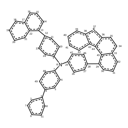 c1ccc(-c2ccc(N(c3ccc(-c4cccc5ccccc45)cc3)c3ccc(-c4cccc5ccc6sc7ccccc7c6c45)cc3)cc2)cc1